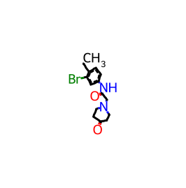 CCc1ccc(NC(=O)CN2CCC(=O)CC2)cc1Br